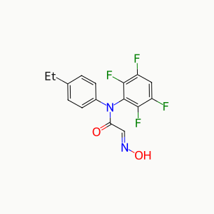 CCc1ccc(N(C(=O)C=NO)c2c(F)c(F)cc(F)c2F)cc1